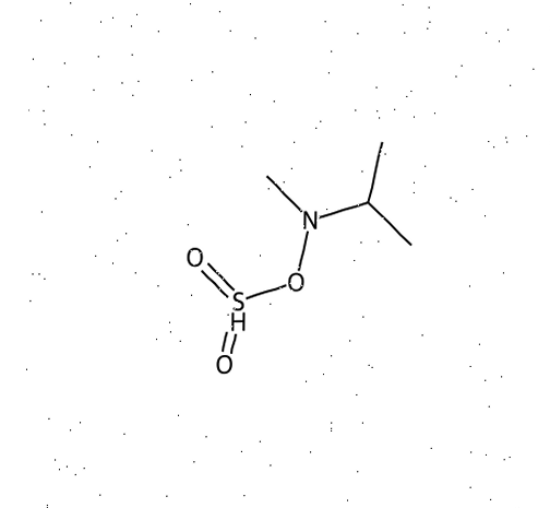 CC(C)N(C)O[SH](=O)=O